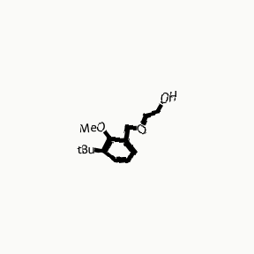 COc1c(COCCO)cccc1C(C)(C)C